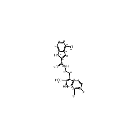 Cc1[nH]c2c(F)c(F)ccc2c1CCNC(=O)c1cc2c(Cl)cccc2[nH]1